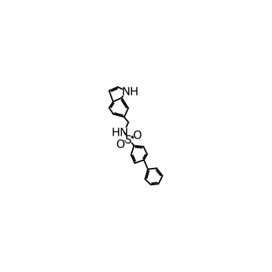 O=S(=O)(NCc1ccc2cc[nH]c2c1)c1ccc(-c2ccccc2)cc1